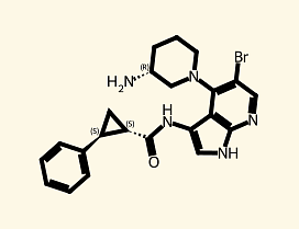 N[C@@H]1CCCN(c2c(Br)cnc3[nH]cc(NC(=O)[C@H]4C[C@@H]4c4ccccc4)c23)C1